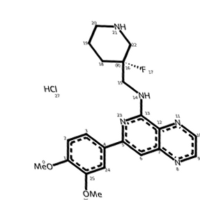 COc1ccc(-c2cc3nccnc3c(NC[C@@]3(F)CCCNC3)n2)cc1OC.Cl